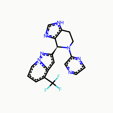 FC(F)(F)c1cccn2nc([C@H]3c4nc[nH]c4CCN3c3cnccn3)cc12